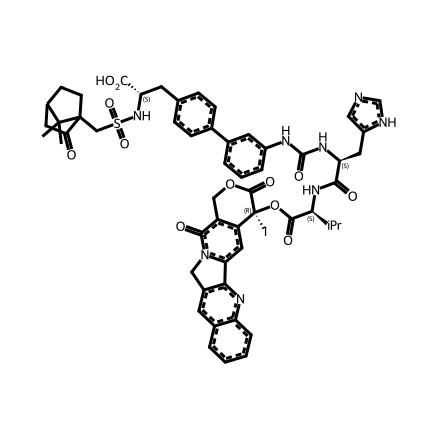 CC(C)[C@H](NC(=O)[C@H](Cc1cnc[nH]1)NC(=O)Nc1cccc(-c2ccc(C[C@H](NS(=O)(=O)CC34CCC(CC3=O)C4(C)C)C(=O)O)cc2)c1)C(=O)O[C@]1(I)C(=O)OCc2c1cc1n(c2=O)Cc2cc3ccccc3nc2-1